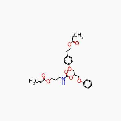 C=CC(=O)OCCCNC(=O)OC(COc1ccccc1)COc1ccc(CCOC(=O)C=C)cc1